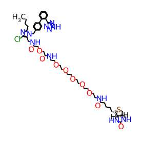 CCCCc1nc(Cl)c(CNC(=O)COCC(=O)NCCOCCOCCOCCOCCOCCNC(=O)CCCC[C@@H]2SC[C@@H]3NC(=O)N[C@@H]32)n1Cc1ccc(-c2ccccc2-c2nn[nH]n2)cc1